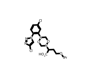 CC(C)OCCC(C(=O)O)N1CON(c2cc(Cl)ccc2-n2cc(Cl)nn2)CO1